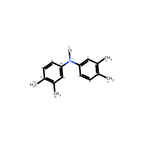 CCN(c1ccc(C)c(C)c1)c1ccc(C)c(C)c1